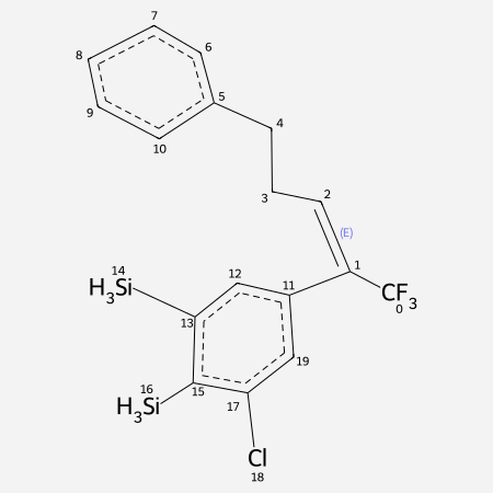 FC(F)(F)/C(=C/CCc1ccccc1)c1cc([SiH3])c([SiH3])c(Cl)c1